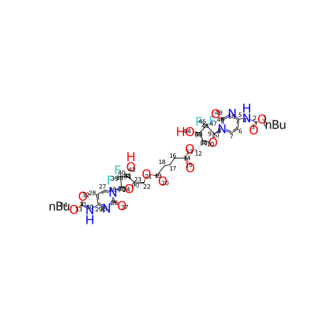 CCCCOC(=O)Nc1ccn([C@H]2O[C@H](COC(=O)CCCC(=O)OC[C@H]3O[C@@H](n4ccc(NC(=O)OCCCC)nc4=O)C(F)(F)[C@@H]3O)[C@@H](O)C2(F)F)c(=O)n1